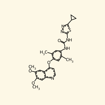 COc1cc2nccc(Oc3cc(C)c(NC(=O)Nc4nnc(C5CC5)s4)cc3C)c2cc1OC